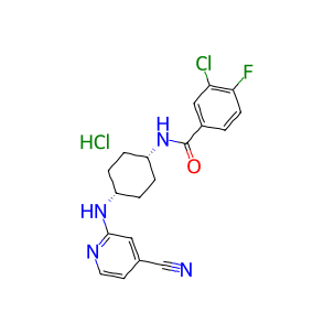 Cl.N#Cc1ccnc(N[C@H]2CC[C@@H](NC(=O)c3ccc(F)c(Cl)c3)CC2)c1